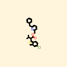 CC(C)C(C(=O)OCc1cccc(Cc2ccccc2)n1)c1scc2cc(Cl)ccc12